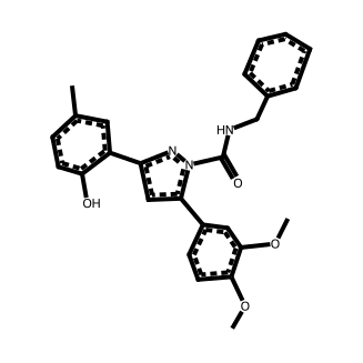 COc1ccc(-c2cc(-c3cc(C)ccc3O)nn2C(=O)NCc2ccccc2)cc1OC